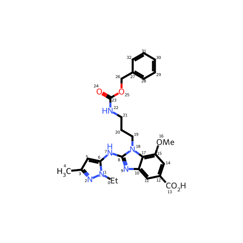 CCn1nc(C)cc1Nc1nc2cc(C(=O)O)cc(OC)c2n1CCCNC(=O)OCc1ccccc1